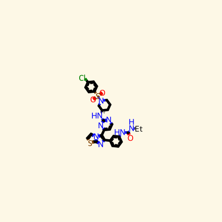 CCNC(=O)Nc1cccc(-c2nc3sccn3c2-c2ccnc(N[C@@H]3CCCN(S(=O)(=O)c4ccc(Cl)cc4)C3)n2)c1